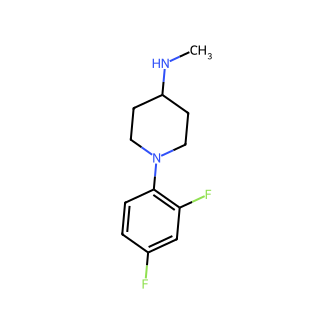 CNC1CCN(c2ccc(F)cc2F)CC1